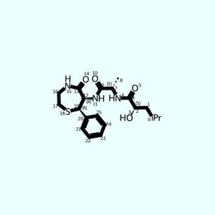 CC(C)C[C@H](O)C(=O)N[C@@H](C)C(=O)N[C@@H]1C(=O)NCCS[C@@H]1c1ccccc1